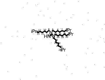 CC(C)CCCCCCN(CCCCCCC(C)C)C(=N)N(CCCCCCC(C)C)CCCCCCC(C)C